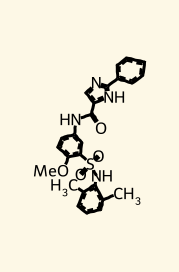 COc1ccc(NC(=O)c2cnc(-c3ccccc3)[nH]2)cc1S(=O)(=O)Nc1c(C)cccc1C